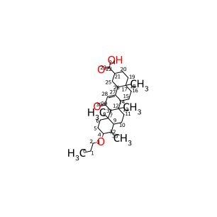 CCCOC1CCC2(C)C(CCC3(C)C4CCC5(C)CCC(C(=O)O)CC5C4=CC(=O)C32)C1C